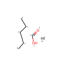 CCCCC.O=CO.[Hf]